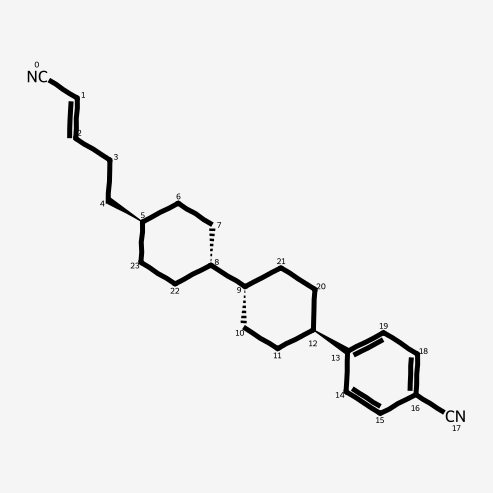 N#CC=CCC[C@H]1CC[C@H]([C@H]2CC[C@H](c3ccc(C#N)cc3)CC2)CC1